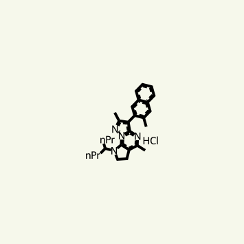 CCCC(CCC)N1CCc2c(C)nc3c(-c4cc5ccccc5cc4C)c(C)nn3c21.Cl